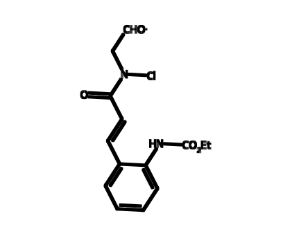 CCOC(=O)Nc1ccccc1/C=C/C(=O)N(Cl)C[C]=O